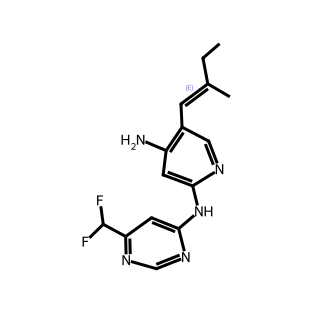 CC/C(C)=C/c1cnc(Nc2cc(C(F)F)ncn2)cc1N